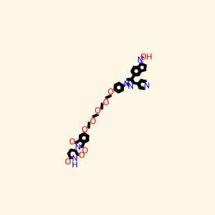 O=C1CCC(N2C(=O)c3ccc(OCCOCCOCCOCCOc4ccc(-n5cc(-c6ccc7c(c6)CC/C7=N\O)c(-c6ccncc6)n5)cc4)cc3C2=O)C(=O)N1